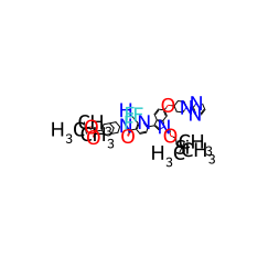 CC(C)(C)OC(=O)C1CC2CC(CC(NC(=O)c3ccc(-c4cn(COCC[Si](C)(C)C)c5cc(OC6CCN(c7ncccn7)CC6)ccc45)nc3C(F)(F)F)C2)C1